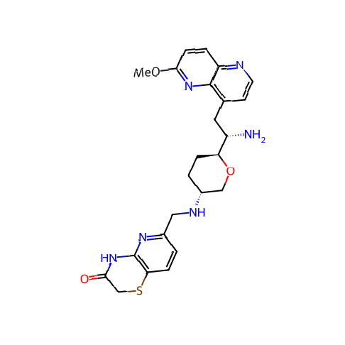 COc1ccc2nccc(C[C@H](N)[C@@H]3CC[C@@H](NCc4ccc5c(n4)NC(=O)CS5)CO3)c2n1